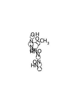 Cc1cc2cc(c1O)C1CN(CCCN1C1CCOCC1)C(=O)[C@H](NC(=O)N1CCC(N3CCc4ccccc4NC3=O)CC1)C2